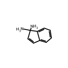 NC1(N)C=Cc2ccccc21